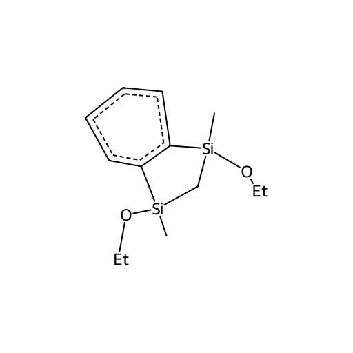 CCO[Si]1(C)C[Si](C)(OCC)c2ccccc21